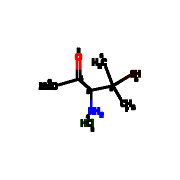 COC(=O)C(N)C(C)(C)S.Cl